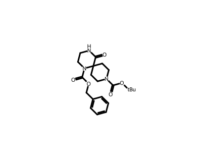 CC(C)(C)OC(=O)N1CCC2(CC1)C(=O)NCCN2C(=O)OCc1ccccc1